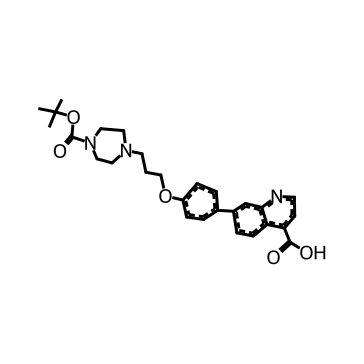 CC(C)(C)OC(=O)N1CCN(CCCOc2ccc(-c3ccc4c(C(=O)O)ccnc4c3)cc2)CC1